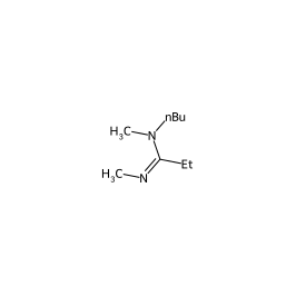 CCCCN(C)/C(CC)=N\C